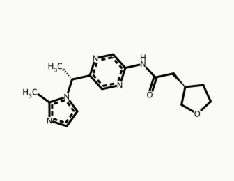 Cc1nccn1[C@H](C)c1cnc(NC(=O)C[C@H]2CCOC2)cn1